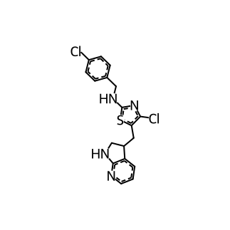 Clc1ccc(CNc2nc(Cl)c(CC3CNc4ncccc43)s2)cc1